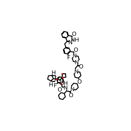 O=C(N[C@@H](C(=O)N1CCC(OC2CCN(CC(=O)N3CCN(C(=O)c4cc(Cc5n[nH]c(=O)c6ccccc56)ccc4F)CC3)CC2)CC1)C1CCCCC1)c1cccc(C2[C@@H]3CC[C@H]2CN(C(=O)C24CC(C2)C4)C3)c1F